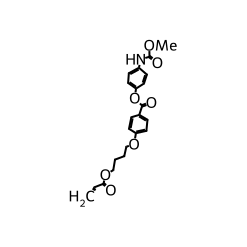 C=CC(=O)OCCCCOc1ccc(C(=O)Oc2ccc(NC(=O)OC)cc2)cc1